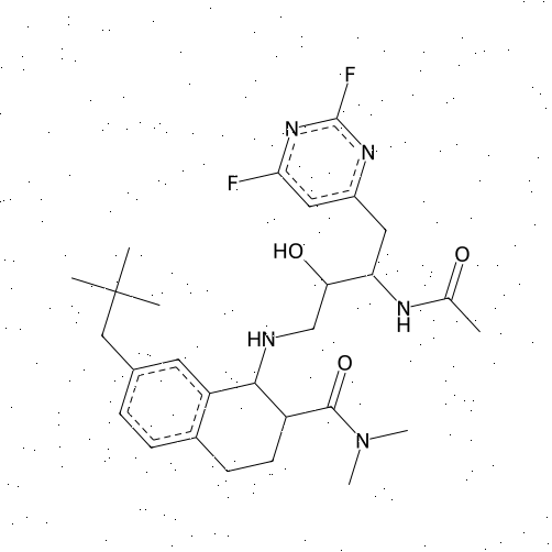 CC(=O)NC(Cc1cc(F)nc(F)n1)C(O)CNC1c2cc(CC(C)(C)C)ccc2CCC1C(=O)N(C)C